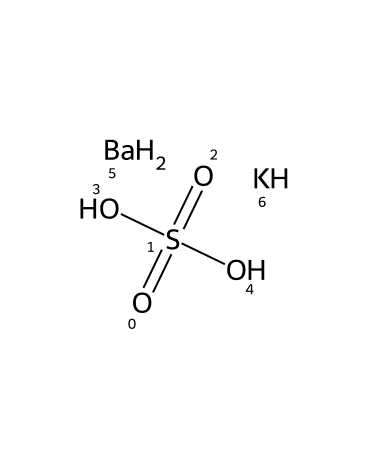 O=S(=O)(O)O.[BaH2].[KH]